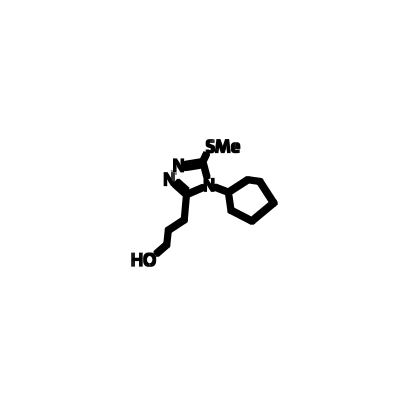 CSc1nnc(CCCO)n1C1CCCCC1